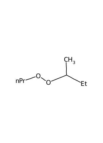 CCCOOC(C)CC